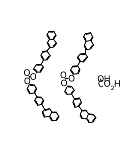 O=C(O)O.O=C(Oc1ccc(-c2ccc(-c3ccc4ccccc4c3)cc2)cc1)Oc1ccc(-c2ccc(-c3ccc4ccccc4c3)cc2)cc1.O=C(Oc1ccc(-c2ccc(-c3ccc4ccccc4c3)cc2)cc1)Oc1ccc(-c2ccc(-c3ccc4ccccc4c3)cc2)cc1